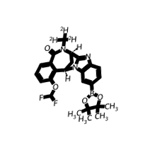 [2H]C([2H])([2H])N1C(=O)c2cccc(OC(F)F)c2[C@H]2C[C@@H]1c1nc3ccc(B4OC(C)(C)C(C)(C)O4)cc3n12